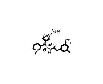 Cc1cc(CC(=O)NS(=O)(=O)N(c2cnn(C)c2)C2CCCN(C)C2)cc(C(F)(F)F)c1.[NaH]